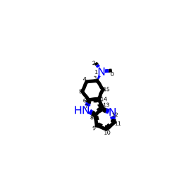 CN(C)[C@@H]1CCc2[nH]c3cccnc3c2C1